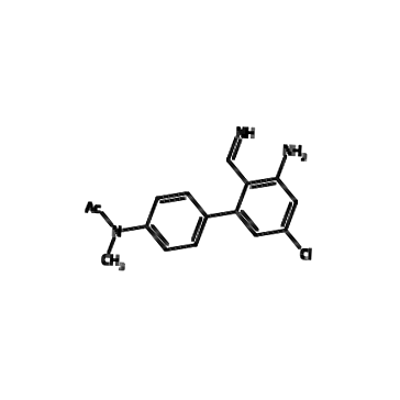 CC(=O)N(C)c1ccc(-c2cc(Cl)cc(N)c2C=N)cc1